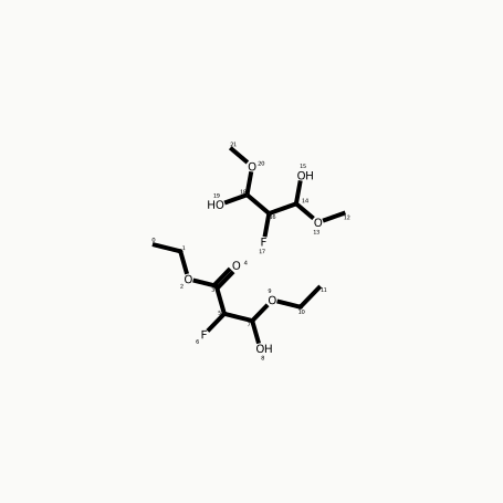 CCOC(=O)C(F)C(O)OCC.COC(O)C(F)C(O)OC